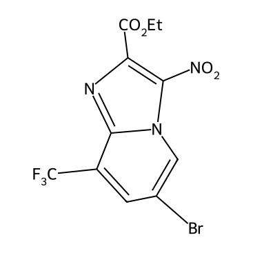 CCOC(=O)c1nc2c(C(F)(F)F)cc(Br)cn2c1[N+](=O)[O-]